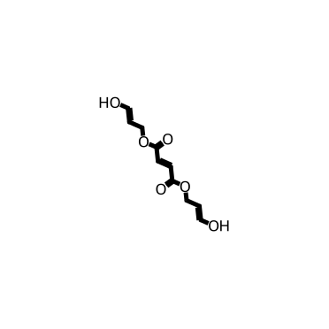 O=C(C=CC(=O)OCC=CO)OCC=CO